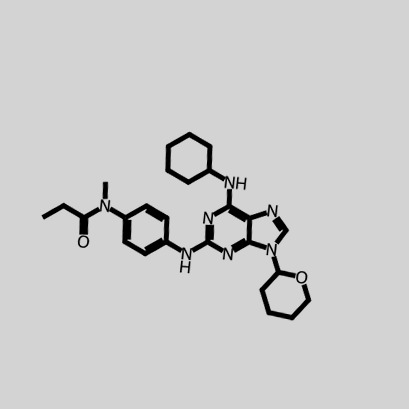 CCC(=O)N(C)c1ccc(Nc2nc(NC3CCCCC3)c3ncn(C4CCCCO4)c3n2)cc1